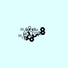 CCOC(=O)c1c(CCCOc2cccc3ccccc23)c2cccc(-c3cnn(C)c3CO)c2n1CCCN(C)C(=O)OC(C)(C)C